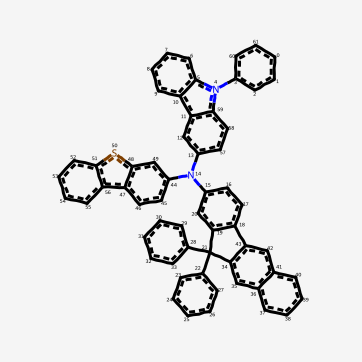 c1ccc(-n2c3ccccc3c3cc(N(c4ccc5c(c4)C(c4ccccc4)(c4ccccc4)c4cc6ccccc6cc4-5)c4ccc5c(c4)sc4ccccc45)ccc32)cc1